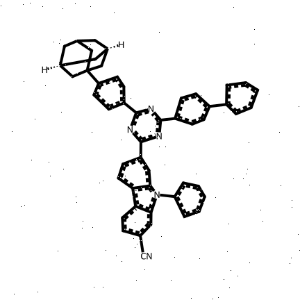 N#Cc1ccc2c3ccc(-c4nc(-c5ccc(-c6ccccc6)cc5)nc(-c5ccc(C67CC8C[C@H](C6)C[C@@H](C8)C7)cc5)n4)cc3n(-c3ccccc3)c2c1